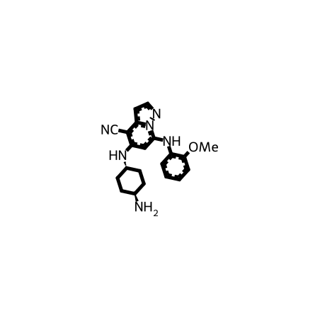 COc1ccccc1Nc1cc(N[C@H]2CC[C@H](N)CC2)c(C#N)c2ccnn12